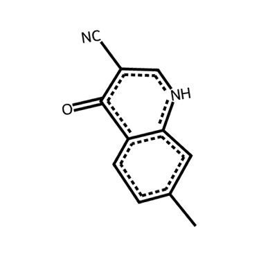 Cc1ccc2c(=O)c(C#N)c[nH]c2c1